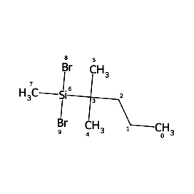 CCCC(C)(C)[Si](C)(Br)Br